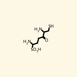 NC(CS)C(=O)CCC(N)S(=O)(=O)O